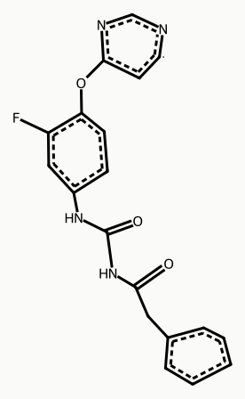 O=C(Cc1ccccc1)NC(=O)Nc1ccc(Oc2c[c]ncn2)c(F)c1